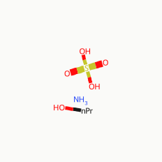 CCCO.N.O=S(=O)(O)O